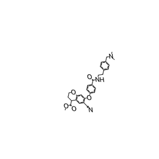 COC(=O)C1CCOc2cc(Oc3ccc(C(=O)NCCc4ccc(CN(C)C)cc4)cc3)c(C#N)cc21